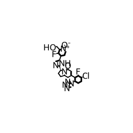 O=C1C=C(c2c(-n3cnnn3)ccc(Cl)c2F)CC2CC[C@@H](c3ncc(-c4cc[n+]([O-])c(CO)c4F)[nH]3)N12